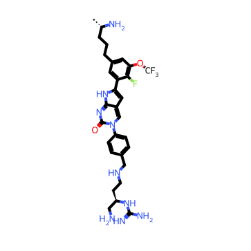 C[C@H](N)CCCc1cc(OC(F)(F)F)c(F)c(-c2cc3cn(-c4ccc(CNCC[C@H](CN)NC(=N)N)cc4)c(=O)nc3[nH]2)c1